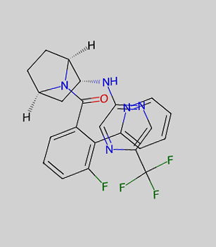 O=C(c1cccc(F)c1-c1ccccn1)N1[C@@H]2CC[C@H]1[C@H](Nc1cnc(C(F)(F)F)cn1)C2